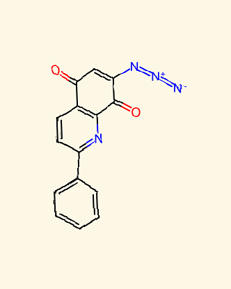 [N-]=[N+]=NC1=CC(=O)c2ccc(-c3ccccc3)nc2C1=O